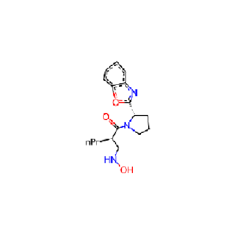 CCC[C@H](CNO)C(=O)N1CCC[C@H]1c1nc2ccccc2o1